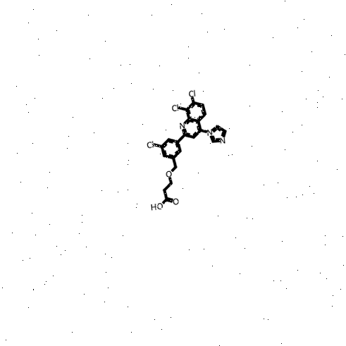 O=C(O)CCOCc1cc(Cl)cc(-c2cc(-n3ccnc3)c3ccc(Cl)c(Cl)c3n2)c1